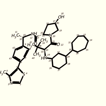 Cc1ncsc1-c1ccc([C@H](C)NC(=O)[C@@H]2C[C@@H](O)CN2C(=O)[C@@H](NC2CCCC(C3CCCCCC3)C2)C(C)(C)C)cc1